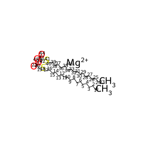 CCCCCCCCCCCCCCCCCCSCC(=O)[O-].CCCCCCCCCCCCCCCCCCSCC(=O)[O-].[Mg+2]